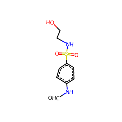 O=CNc1ccc(S(=O)(=O)NCCO)cc1